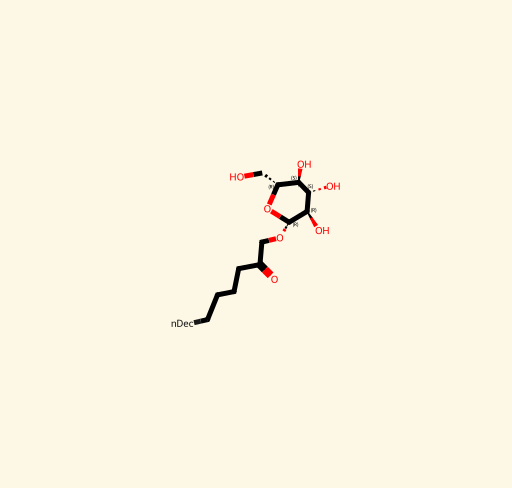 CCCCCCCCCCCCCCC(=O)CO[C@@H]1O[C@H](CO)[C@@H](O)[C@H](O)[C@H]1O